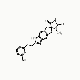 CN1C(=O)NC(=O)C12Cc1cc3nc(CCc4cccc(N)c4)[nH]c3cc1C2